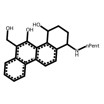 CCCCCNC1CCC(O)c2c1ccc1c2c(O)c(CO)c2ccccc21